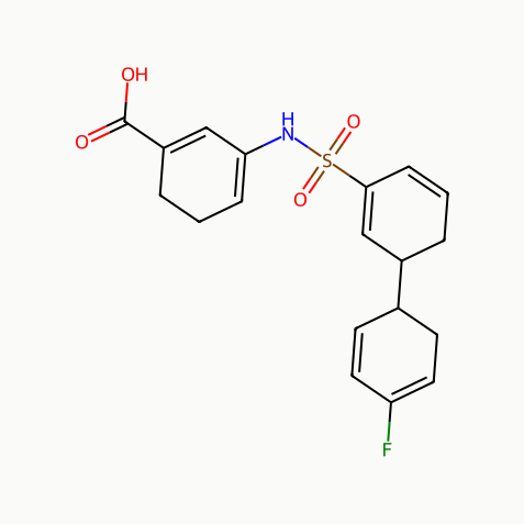 O=C(O)C1=CC(NS(=O)(=O)C2=CC(C3C=CC(F)=CC3)CC=C2)=CCC1